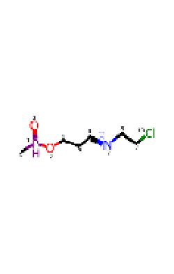 C[PH](=O)OCC/C=N/CCCl